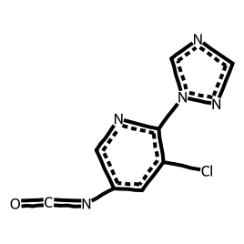 O=C=Nc1cnc(-n2cncn2)c(Cl)c1